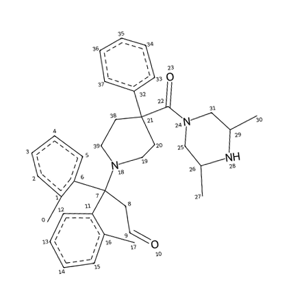 Cc1ccccc1C(CC=O)(c1ccccc1C)N1CCC(C(=O)N2CC(C)NC(C)C2)(c2ccccc2)CC1